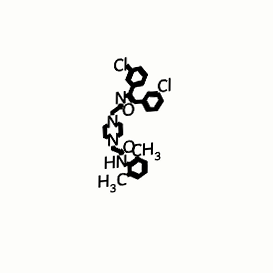 Cc1cccc(C)c1NC(=O)CN1CCN(Cc2nc(-c3cccc(Cl)c3)c(-c3cccc(Cl)c3)o2)CC1